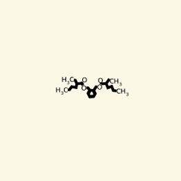 CCCCC(CC)C(=O)OCc1ccccc1COC(=O)C(CC)CCCC